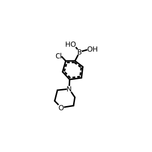 OB(O)c1ccc(N2CCOCC2)cc1Cl